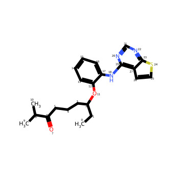 CCC(CCCC(=O)C(C)C)Oc1ccccc1Nc1ncnc2sccc12